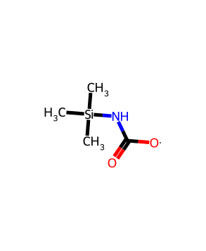 C[Si](C)(C)NC([O])=O